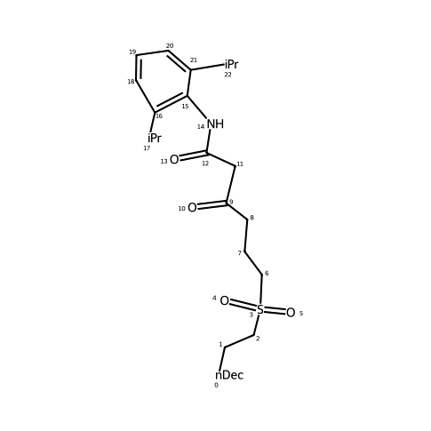 CCCCCCCCCCCCS(=O)(=O)CCCC(=O)CC(=O)Nc1c(C(C)C)cccc1C(C)C